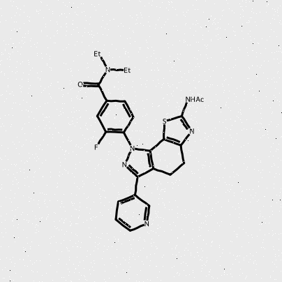 CCN(CC)C(=O)c1ccc(-n2nc(-c3cccnc3)c3c2-c2sc(NC(C)=O)nc2CC3)c(F)c1